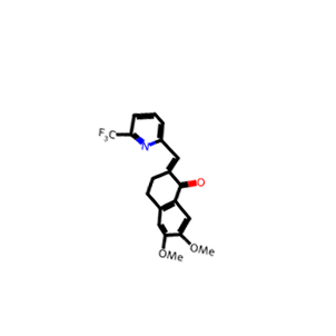 COc1cc2c(cc1OC)C(=O)/C(=C/c1cccc(C(F)(F)F)n1)CC2